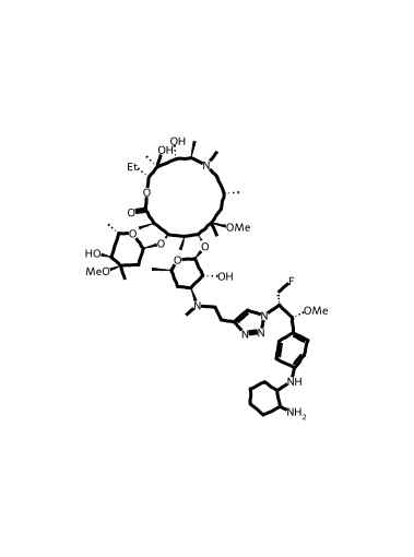 CC[C@H]1OC(=O)[C@H](C)[C@@H](O[C@H]2C[C@@](C)(OC)[C@@H](O)[C@H](C)O2)[C@H](C)[C@@H](O[C@@H]2O[C@H](C)C[C@H](N(C)CCc3cn([C@H](CF)[C@H](OC)c4ccc(NC5CCCCC5N)cc4)nn3)[C@H]2O)[C@](C)(OC)C[C@@H](C)CN(C)[C@H](C)[C@@H](O)[C@]1(C)O